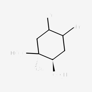 CCCC[C@]1(C(=O)O)CC(C(C)C)C(C(C)C)C[C@H]1C(=O)O